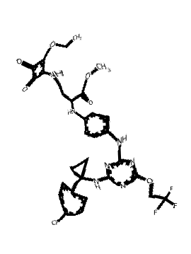 CCOc1c(NCC(Nc2ccc(Nc3nc(NC4(c5ccc(Cl)cc5)CC4)nc(OCC(F)(F)F)n3)cc2)C(=O)OC)c(=O)c1=O